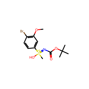 COc1cc([SH](C)(O)=NC(=O)OC(C)(C)C)ccc1Br